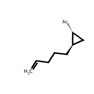 C=CCCC[C@@H]1C[C@H]1C(C)=O